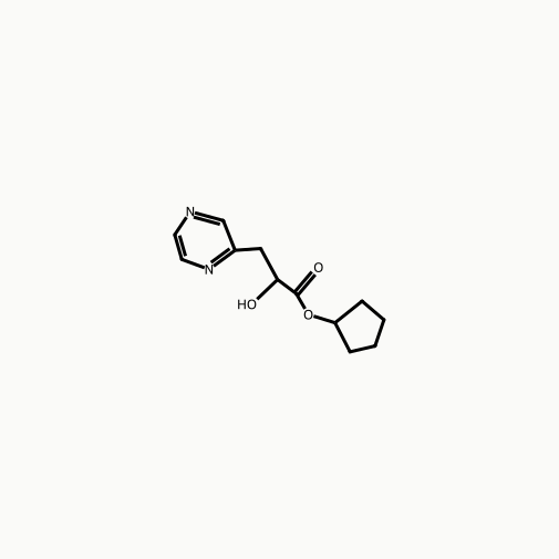 O=C(OC1CCCC1)C(O)Cc1cnccn1